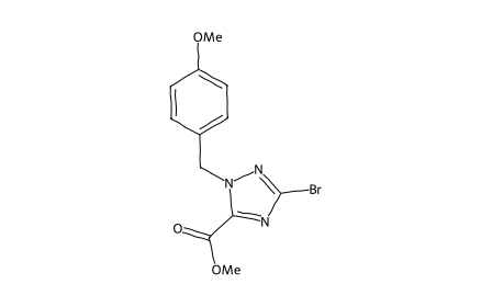 COC(=O)c1nc(Br)nn1Cc1ccc(OC)cc1